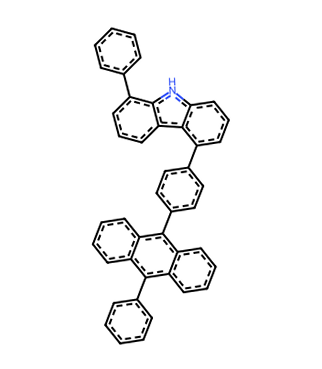 c1ccc(-c2c3ccccc3c(-c3ccc(-c4cccc5[nH]c6c(-c7ccccc7)cccc6c45)cc3)c3ccccc23)cc1